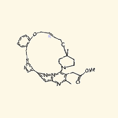 COC(=O)Cc1c(C)nc2cc3nn2c1N1CCC(C)(CC/C=C/COc2ccccc2Cn2cc-3cn2)CC1